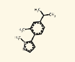 Cc1cc(C(C)C)ccc1-c1ccnn1C